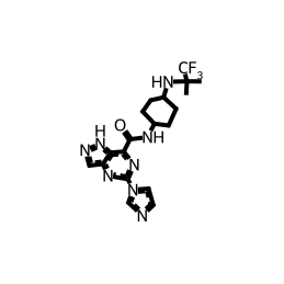 CC(C)(NC1CCC(NC(=O)c2nc(-n3ccnc3)nc3cn[nH]c23)CC1)C(F)(F)F